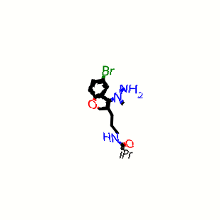 CC(C)C(=O)NCCCC1=C(N(C)N)c2cc(Br)ccc2OC1